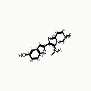 CNc1c(-c2cc3cc(O)ccc3o2)nc2n1CN(F)C=C2